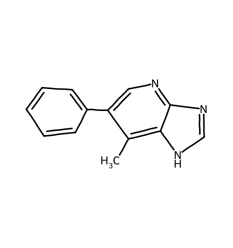 Cc1c(-c2ccccc2)cnc2nc[nH]c12